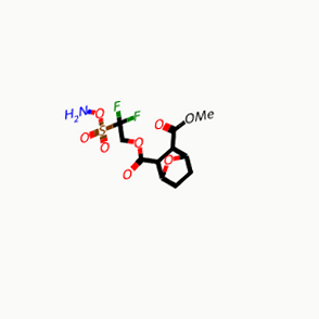 COC(=O)C1C2CCC(O2)C1C(=O)OCC(F)(F)S(=O)(=O)ON